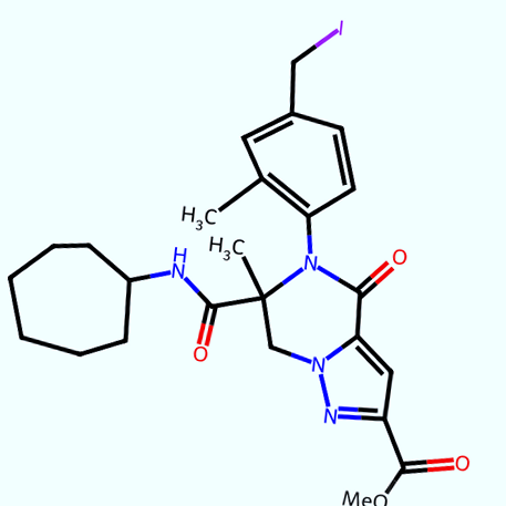 COC(=O)c1cc2n(n1)CC(C)(C(=O)NC1CCCCCC1)N(c1ccc(CI)cc1C)C2=O